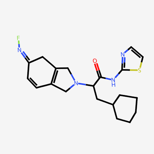 O=C(Nc1nccs1)C(CC1CCCCC1)N1CC2=C(CC(=NF)C=C2)C1